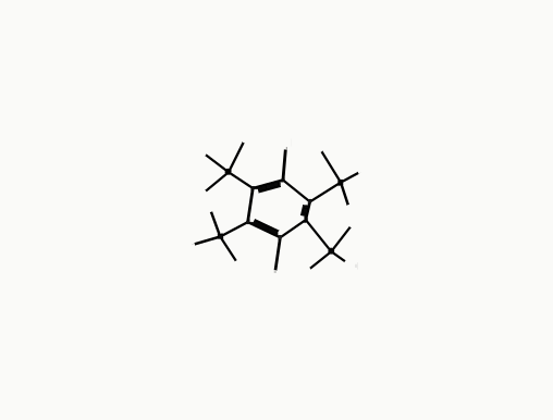 CC(C)(O)c1c(Cl)c(C(C)(C)O)c(C(C)(C)O)c(Cl)c1C(C)(C)O